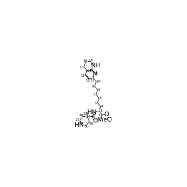 COC(=O)[C@H](CCCCCCCc1ccc2c(n1)NCCC2)NC(=O)C1(C)CCNCC1